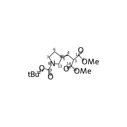 COC(=O)C(C[C@@H]1CCN(C(=O)OC(C)(C)C)C1)C(=O)OC